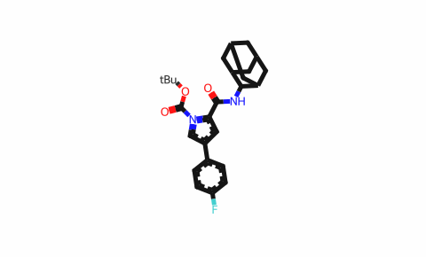 CC(C)(C)OC(=O)n1cc(-c2ccc(F)cc2)cc1C(=O)NC1C2CC3CC(C2)CC1C3